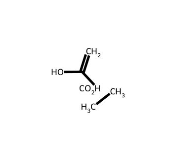 C=C(O)C(=O)O.CC